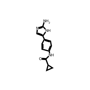 Nc1ncc(-c2ccc(NC(=O)C3CC3)cc2)[nH]1